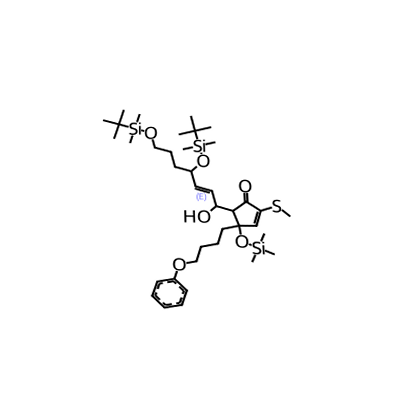 CSC1=CC(CCCCOc2ccccc2)(O[Si](C)(C)C)C(C(O)/C=C/C(CCCO[Si](C)(C)C(C)(C)C)O[Si](C)(C)C(C)(C)C)C1=O